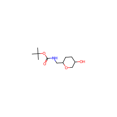 CC(C)(C)OC(=O)NCC1CCC(O)CO1